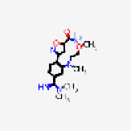 COCCN(C)c1cc(C(=N)N(C)C)ccc1C1=NOC(C(N)=O)C1